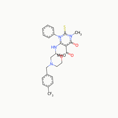 COC(=O)c1c(NC2CN(Cc3ccc(C(F)(F)F)cc3)CCO2)n(-c2ccccc2)c(=S)n(C)c1=O